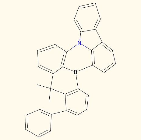 CC1(C)c2cccc3c2B(c2cccc(-c4ccccc4)c21)c1cccc2c4ccccc4n-3c12